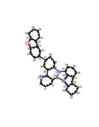 c1cnc2c(c1)B1N(c3ccc(-c4ccc5oc6ccccc6c5c4)cc3-2)c2cccc3c4ccccc4n1c23